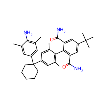 Cc1cc(C2(c3cc(C)c(-c4c(C(N)=O)cc(C(C)(C)C)cc4C(N)=O)c(C)c3)CCCCC2)cc(C)c1N